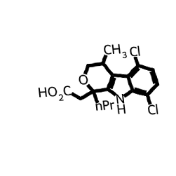 CCCC1(CC(=O)O)OCC(C)c2c1[nH]c1c(Cl)ccc(Cl)c21